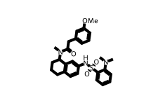 COc1cccc(CC(=O)N(C)C2CCCc3ccc(NS(=O)(=O)c4ccccc4N(C)C)cc32)c1